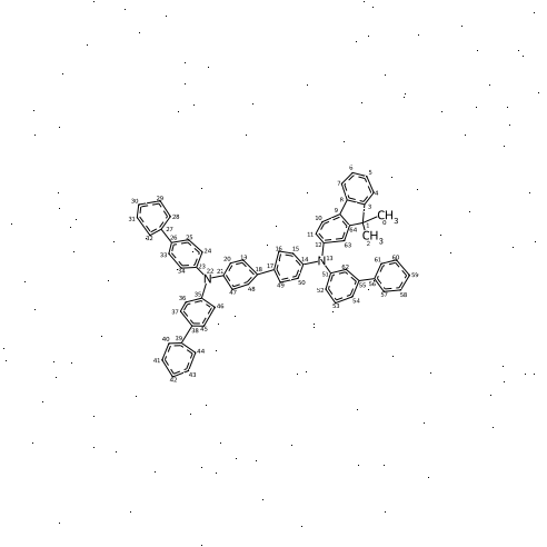 CC1(C)c2ccccc2-c2ccc(N(c3ccc(-c4ccc(N(c5ccc(-c6ccccc6)cc5)c5ccc(-c6ccccc6)cc5)cc4)cc3)c3cccc(-c4ccccc4)c3)cc21